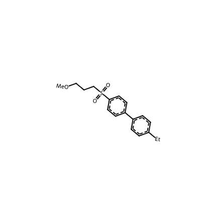 [CH2]Cc1ccc(-c2ccc(S(=O)(=O)CCCOC)cc2)cc1